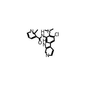 Cc1ncccc1C(=O)Nc1c(N(C)C)c(Cl)cc2c1[nH]c1cnccc12